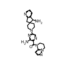 Nc1nc(N2CCC3(CC2)Cc2ncccc2C3N)cnc1C(=O)N1CCCn2nccc21